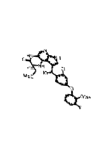 COC[C@]1(C)Nc2c(cnc3[nH]cc(C(O)c4ccc(Oc5cccc(F)c5OC)cc4Cl)c23)NC1=O